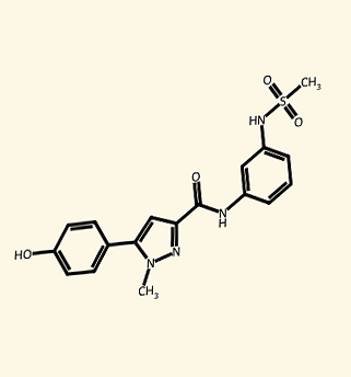 Cn1nc(C(=O)Nc2cccc(NS(C)(=O)=O)c2)cc1-c1ccc(O)cc1